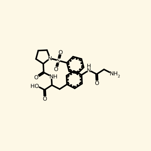 NCC(=O)Nc1ccc(CC(NC(=O)C2CCCN2S(=O)(=O)c2ccccc2)C(=O)O)cc1